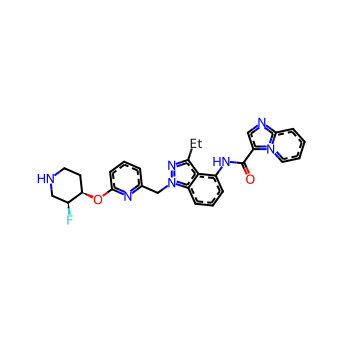 CCc1nn(Cc2cccc(O[C@@H]3CCNC[C@@H]3F)n2)c2cccc(NC(=O)c3cnc4ccccn34)c12